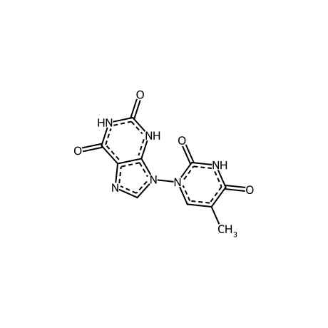 Cc1cn(-n2cnc3c(=O)[nH]c(=O)[nH]c32)c(=O)[nH]c1=O